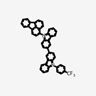 FC(F)(F)c1ccc(-n2c3ccccc3c3cc(-c4ccc5c(c4)c4ccccc4n5-c4ccc5c6c(cccc46)-c4ccccc4-5)ccc32)cc1